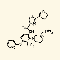 NC[C@@H]1CCCN(c2c(NC(=O)c3csc(-c4ccnnc4)n3)ccc(Oc3ccccn3)c2C(F)(F)F)C1